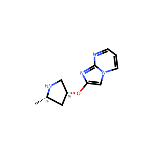 C[C@H]1C[C@@H](Oc2cn3cccnc3n2)CN1